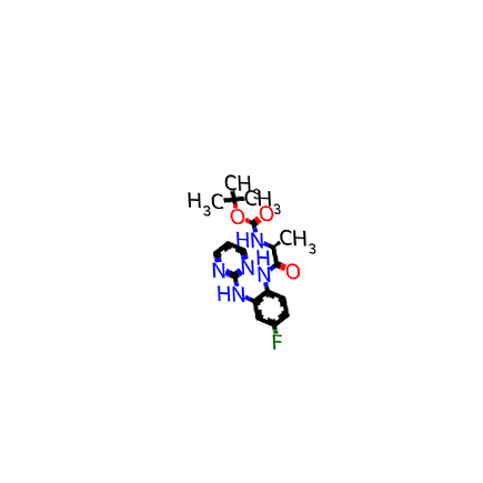 C[C@H](NC(=O)OC(C)(C)C)C(=O)Nc1ccc(F)cc1Nc1ncccn1